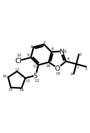 CC(C)(C)c1nc2ccc(Cl)c(SC3CCCC3)c2o1